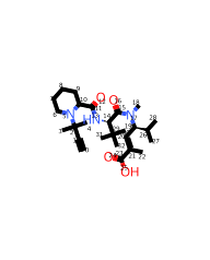 C#CC(C)(C)N1CCCCC1C(=O)N[C@H](C(=O)N(C)[C@H](/C=C(\C)C(=O)O)C(C)C)C(C)(C)C